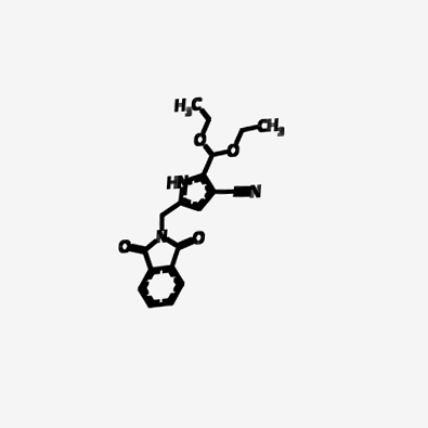 CCOC(OCC)c1[nH]c(CN2C(=O)c3ccccc3C2=O)cc1C#N